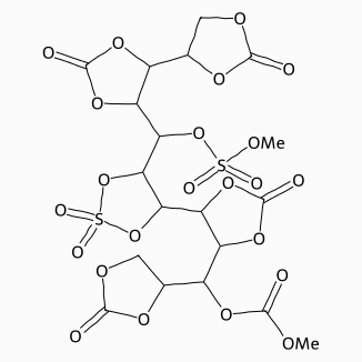 COC(=O)OC(C1COC(=O)O1)C1OC(=O)OC1C1OS(=O)(=O)OC1C(OS(=O)(=O)OC)C1OC(=O)OC1C1COC(=O)O1